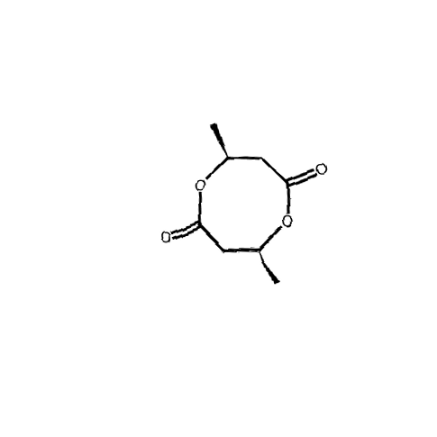 C[C@H]1CC(=O)O[C@@H](C)CC(=O)O1